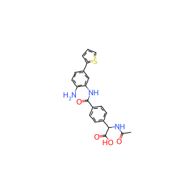 CC(=O)NC(C(=O)O)c1ccc(C(=O)Nc2cc(-c3cccs3)ccc2N)cc1